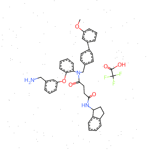 COc1cccc(-c2ccc(CN(C(=O)CCC(=O)NC3CCc4ccccc43)c3ccccc3Oc3cccc(CN)c3)cc2)c1.O=C(O)C(F)(F)F